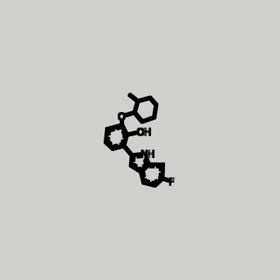 CC1CCCCC1Oc1cccc(-c2cc3ccc(F)cc3[nH]2)c1O